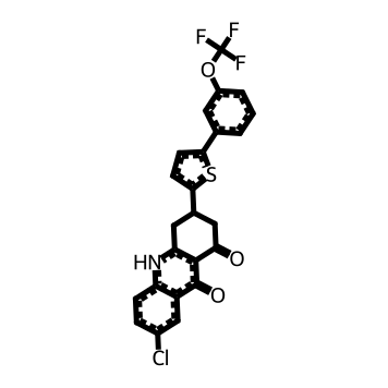 O=C1CC(c2ccc(-c3cccc(OC(F)(F)F)c3)s2)Cc2[nH]c3ccc(Cl)cc3c(=O)c21